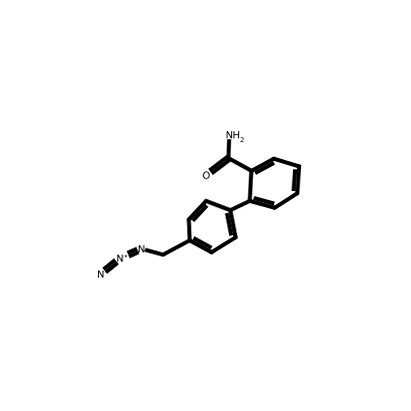 [N-]=[N+]=NCc1ccc(-c2ccccc2C(N)=O)cc1